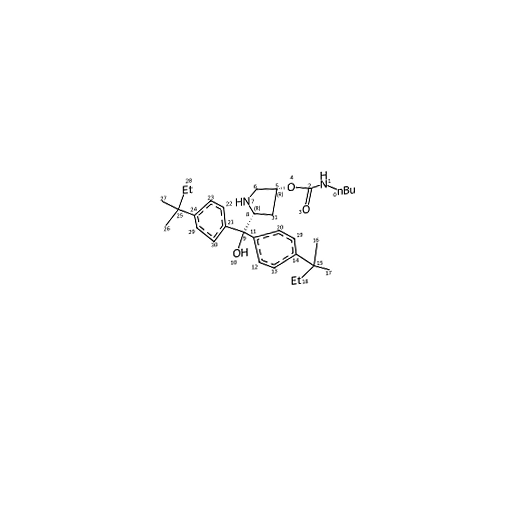 CCCCNC(=O)O[C@H]1CN[C@@H](C(O)(c2ccc(C(C)(C)CC)cc2)c2ccc(C(C)(C)CC)cc2)C1